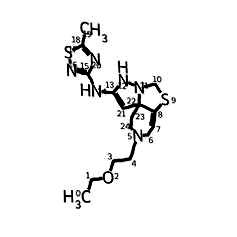 CCOCCN1CC=C2SCN3NC(Nc4nsc(C)n4)=CC23CC1